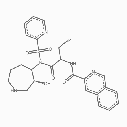 CC(C)CC(NC(=O)c1cc2ccccc2cn1)C(=O)N(C1CCCNC[C@@H]1O)S(=O)(=O)c1ccccn1